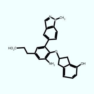 Cn1ncc2cc(-c3cc(CCC(=O)O)cc(N)c3OC3Cc4cccc(O)c4C3)ccc21